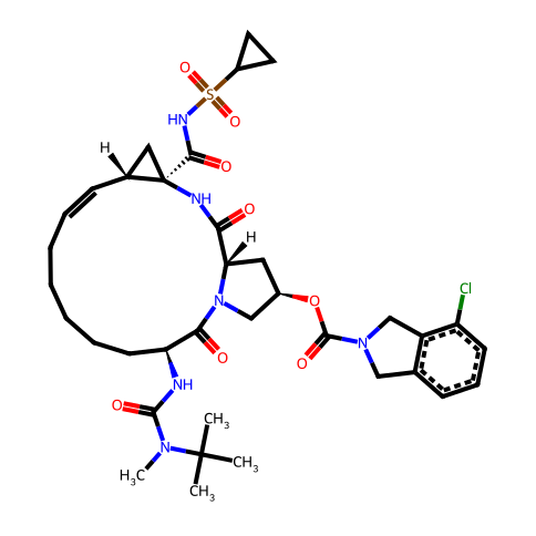 CN(C(=O)N[C@H]1CCCCC/C=C\[C@@H]2C[C@@]2(C(=O)NS(=O)(=O)C2CC2)NC(=O)[C@@H]2C[C@@H](OC(=O)N3Cc4cccc(Cl)c4C3)CN2C1=O)C(C)(C)C